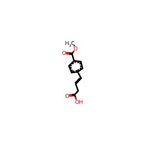 COC(=O)c1ccc(/C=C/CC(=O)O)cc1